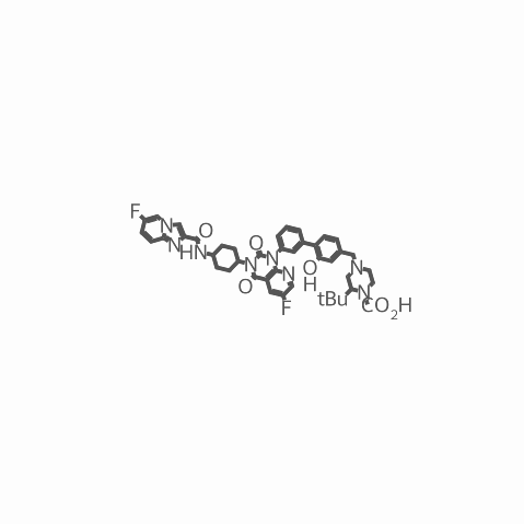 CC(C)(C)C1CN(Cc2ccc(-c3cccc(-n4c(=O)n(C5CCC(NC(=O)c6cn7cc(F)ccc7n6)CC5)c(=O)c5cc(F)cnc54)c3)c(O)c2)CCN1C(=O)O